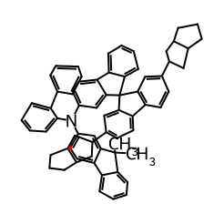 CC1(C)c2ccccc2-c2ccc(N(c3ccc4c(c3)C3(c5ccccc5-4)c4cc(C5CC6CCCC6C5)ccc4-c4ccc(C5CC6CCCC6C5)cc43)c3ccccc3-c3ccccc3)cc21